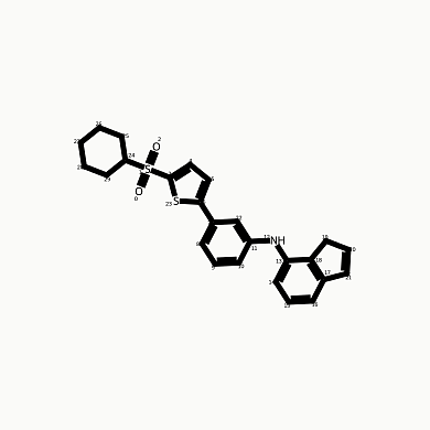 O=S(=O)(c1ccc(-c2cccc(Nc3cccc4c3CC=C4)c2)s1)C1CCCCC1